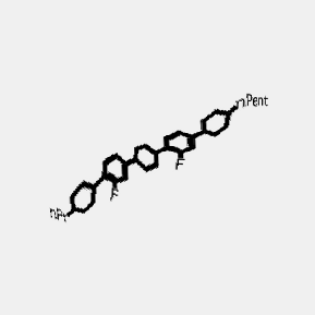 CCCCCC1CCC(c2ccc(C3=CCC(c4ccc(C5CCC(CCC)CC5)c(F)c4)CC3)c(F)c2)CC1